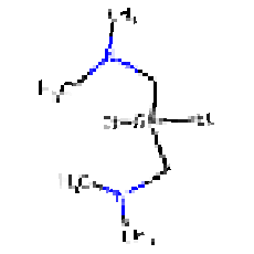 C[CH2][Ge]([CH2]C)([CH2]N(C)C)[CH2]N(C)C